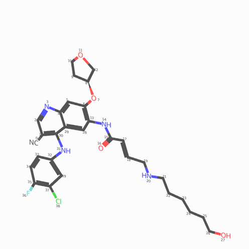 N#Cc1cnc2cc(O[C@H]3CCOC3)c(NC(=O)C=CCNCCCCCCO)cc2c1Nc1ccc(F)c(Cl)c1